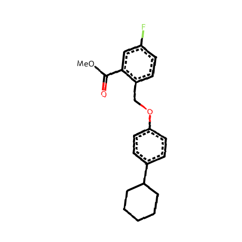 COC(=O)c1cc(F)ccc1COc1ccc(C2CCCCC2)cc1